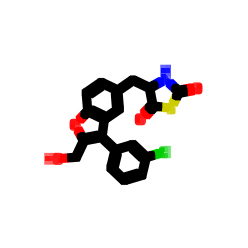 O=C1NC(Cc2ccc3oc(CO)c(-c4cccc(Cl)c4)c3c2)C(=O)S1